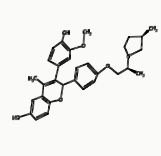 COc1cc(C2=C(C)c3cc(O)ccc3OC2c2ccc(OC[C@H](C)N3CC[C@@H](C)C3)cc2)ccc1O